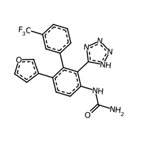 NC(=O)Nc1ccc(-c2ccoc2)c(-c2cccc(C(F)(F)F)c2)c1-c1nnn[nH]1